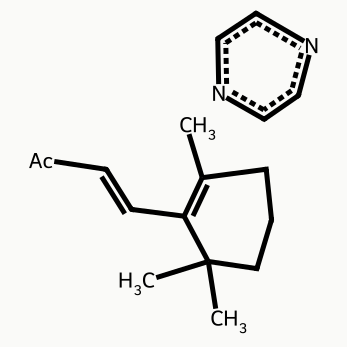 CC(=O)/C=C/C1=C(C)CCCC1(C)C.c1cnccn1